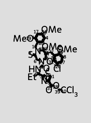 CC[C@@H](NC(=O)N1CC(=S)N(Cc2c(OC)cc(OC)cc2OC)C[C@@H](Cc2cc(Cl)ccc2OC)C1=O)c1nc(C(=O)OCC(Cl)(Cl)Cl)cs1